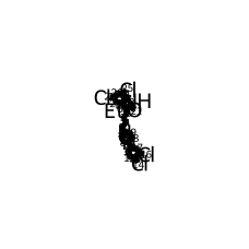 CCC1(CCCCN2CCN(c3ccc(Cl)c(Cl)c3)CC2)C(=O)Nc2c(Cl)cc(Cl)cc21